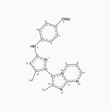 COc1ccc(Nc2nc(-c3c(C)nc4ncccn34)c(C)s2)cc1